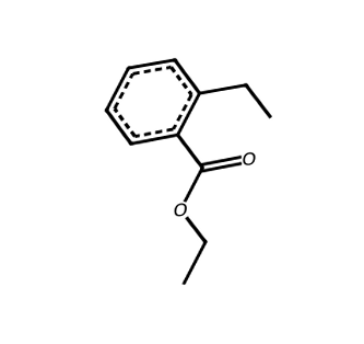 CCOC(=O)c1ccccc1CC